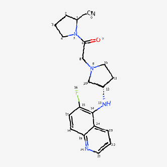 N#CC1CCCN1C(=O)CN1CC[C@H](Nc2c(F)ccc3ncccc23)C1